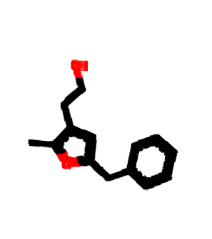 Cc1oc(Cc2ccccc2)cc1CCO